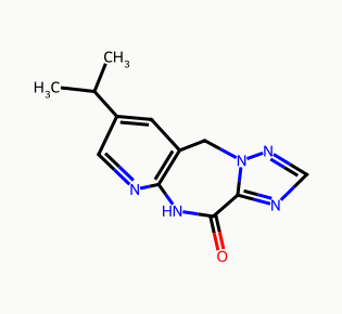 CC(C)c1cnc2c(c1)Cn1ncnc1C(=O)N2